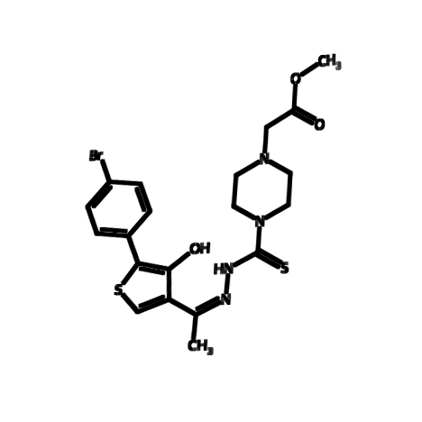 COC(=O)CN1CCN(C(=S)NN=C(C)c2csc(-c3ccc(Br)cc3)c2O)CC1